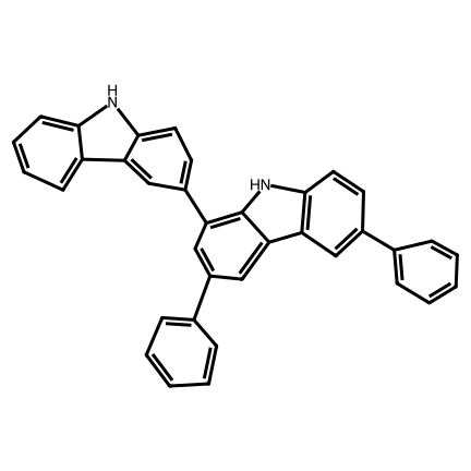 c1ccc(-c2ccc3[nH]c4c(-c5ccc6[nH]c7ccccc7c6c5)cc(-c5ccccc5)cc4c3c2)cc1